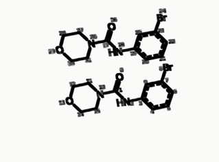 O=C(Nc1cccc(Br)c1)N1CCOCC1.O=C(Nc1cccc(Br)c1)N1CCOCC1